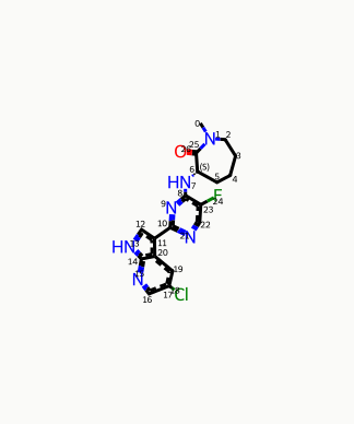 CN1CCCC[C@H](Nc2nc(-c3c[nH]c4ncc(Cl)cc34)ncc2F)C1=O